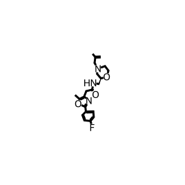 C=C(C)CN1CCO[C@@H](CNC(=O)Cc2nc(-c3ccc(F)cc3)oc2C)C1